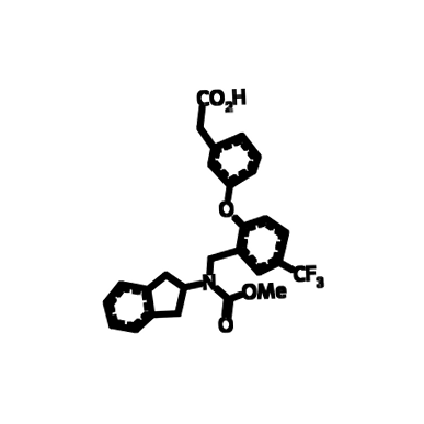 COC(=O)N(Cc1cc(C(F)(F)F)ccc1Oc1cccc(CC(=O)O)c1)C1Cc2ccccc2C1